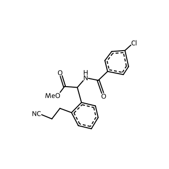 COC(=O)C(NC(=O)c1ccc(Cl)cc1)c1ccccc1CCC#N